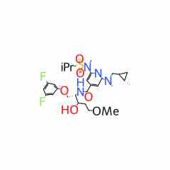 COCC[C@@H](O)[C@H](COc1cc(F)cc(F)c1)NC(=O)c1cc(N(C)CC2C[C@@H]2C)nc(N(C)S(=O)(=O)C(C)C)c1